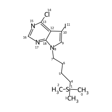 C[Si](C)(C)CCCCn1cc(I)c2c(Cl)ncnc21